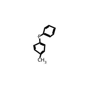 Cc1ccc([P]c2ccccc2)cc1